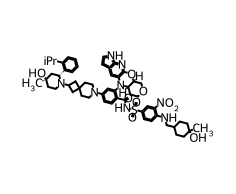 CC(C)c1ccccc1[C@H]1C[C@](C)(O)CCN1C1CC2(CCN(c3ccc(C(=O)NS(=O)(=O)c4ccc(NCC5CCC(C)(O)CC5)c([N+](=O)[O-])c4)c(N4c5cc6cc[nH]c6nc5O[C@H]5COCC[C@@H]54)c3)CC2)C1